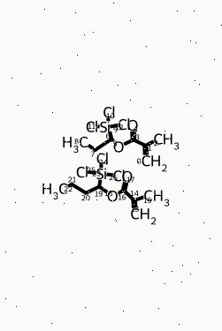 C=C(C)C(=O)OC(CC)[Si](Cl)(Cl)Cl.C=C(C)C(=O)OC(CCC)[Si](Cl)(Cl)Cl